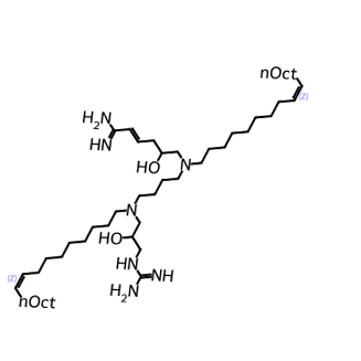 CCCCCCCC/C=C\CCCCCCCCN(CCCCN(CCCCCCCC/C=C\CCCCCCCC)CC(O)CNC(=N)N)CC(O)CC=CC(=N)N